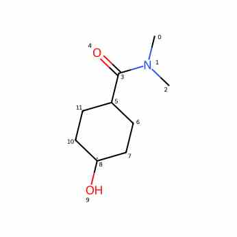 CN(C)C(=O)C1CC[C](O)CC1